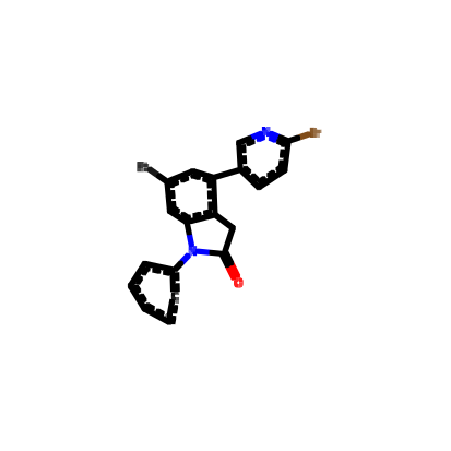 CCc1cc(-c2ccc(Br)nc2)c2c(c1)N(c1ccccc1)C(=O)C2